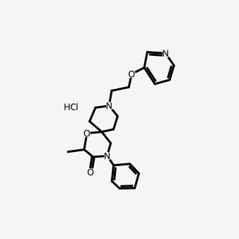 CC1OC2(CCN(CCOc3cccnc3)CC2)CN(c2ccccc2)C1=O.Cl